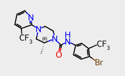 C[C@@H]1CN(c2ncccc2C(F)(F)F)CCN1C(=O)Nc1ccc(Br)c(C(F)(F)F)c1